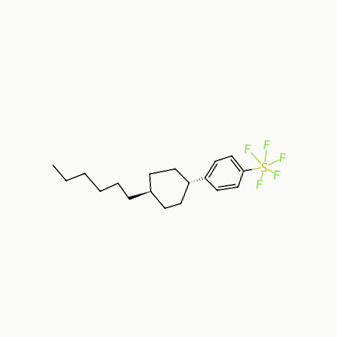 CCCCCC[C@H]1CC[C@H](c2ccc(S(F)(F)(F)(F)F)cc2)CC1